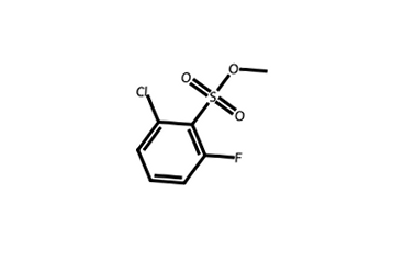 COS(=O)(=O)c1c(F)cccc1Cl